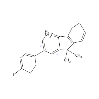 C=C1C2=C(C=CCC2)C(C)(C)/C1=C/C(=C\C)C1=CC=C(I)CC1